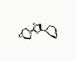 c1sc(N2CCOCC2)nc1C1CCCCC1